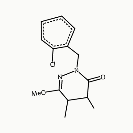 COC1=NN(Cc2ccccc2Cl)C(=O)C(C)C1C